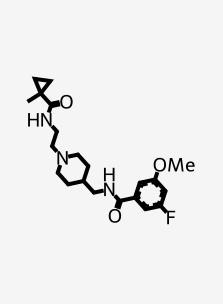 COc1cc(F)cc(C(=O)NCC2CCN(CCNC(=O)C3(C)CC3)CC2)c1